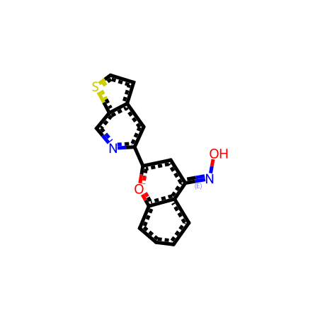 O/N=c1\cc(-c2cc3ccsc3cn2)oc2ccccc12